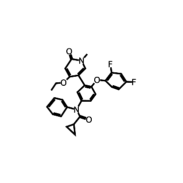 CCOc1cc(=O)n(C)cc1-c1cc(N(C(=O)C2CC2)c2ccccc2)ccc1Oc1ccc(F)cc1F